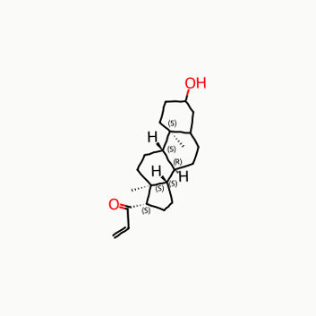 C=CC(=O)[C@H]1CC[C@H]2[C@@H]3CCC4CC(O)CC[C@]4(C)[C@H]3CC[C@]12C